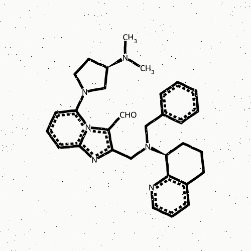 CN(C)[C@@H]1CCN(c2cccc3nc(CN(Cc4ccccc4)[C@H]4CCCc5cccnc54)c(C=O)n23)C1